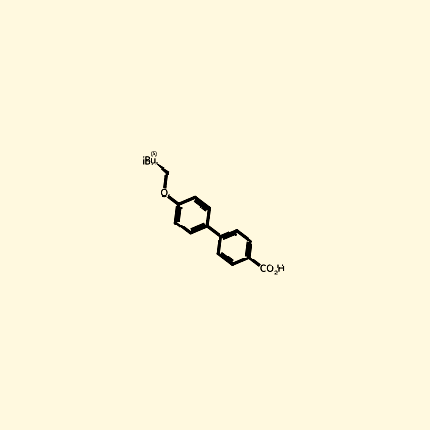 CC[C@H](C)COc1ccc(-c2ccc(C(=O)O)cc2)cc1